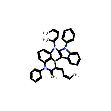 C=C1/C(=C\C=C/C)B2c3c(cccc3N(/C(C)=C/C=C\C)c3c2c2ccccc2n3-c2ccccc2)N1c1ccccc1